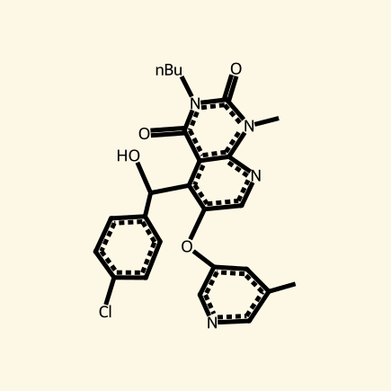 CCCCn1c(=O)c2c(C(O)c3ccc(Cl)cc3)c(Oc3cncc(C)c3)cnc2n(C)c1=O